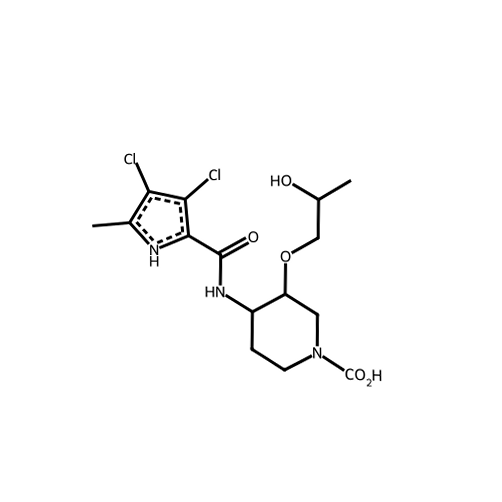 Cc1[nH]c(C(=O)NC2CCN(C(=O)O)CC2OCC(C)O)c(Cl)c1Cl